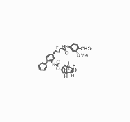 COc1cc(NC(=O)CCCc2ccc(-c3ccccc3)c(NC(=O)O[C@@H]3C[C@@H]4[C@H]5O[C@H]5[C@H](C3)[N+]4(C)C)c2)ccc1C=O.[I-]